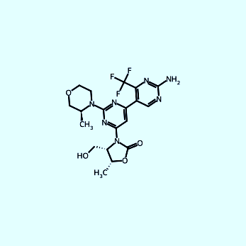 C[C@H]1OC(=O)N(c2cc(-c3cnc(N)nc3C(F)(F)F)nc(N3CCOC[C@@H]3C)n2)[C@H]1CO